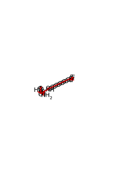 CCCN(CCCNC(=O)OC1CCC1)C(=O)C1=Cc2sc(CCCCCNC(=O)CCOCCOCCOCCOCCOCCOCCOCCOCCOCCOCCC(=O)Oc3c(F)c(F)cc(F)c3F)cc2N=C(N)C1